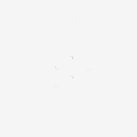 CC(c1cccs1)C(Cc1ccccc1)Oc1nc(OC(Cc2ccccc2)C(C)c2cccs2)nc(OC(Cc2ccccc2)C(C)c2cccs2)n1